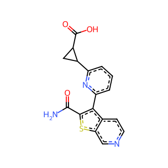 NC(=O)c1sc2cnccc2c1-c1cccc(C2CC2C(=O)O)n1